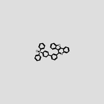 O=P(C1=CCC(c2cccc(-c3nc4ccccc4c4oc5ccccc5c34)c2)C=C1)(c1ccccc1)c1ccccc1